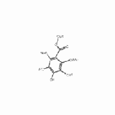 COOC(=O)c1c(OC)c(O)c(O)c(O)c1OC